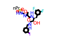 CCCS(=O)(=O)Nc1nc(C(=O)N[C@@H](Cc2cc(F)cc(F)c2)[C@@H](O)CNCc2cccc(I)c2)co1